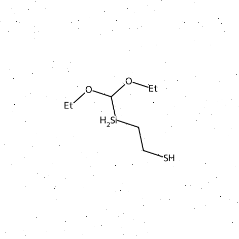 CCOC(OCC)[SiH2]CCS